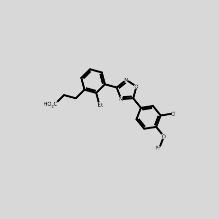 CCc1c(CCC(=O)O)cccc1-c1noc(-c2ccc(OC(C)C)c(Cl)c2)n1